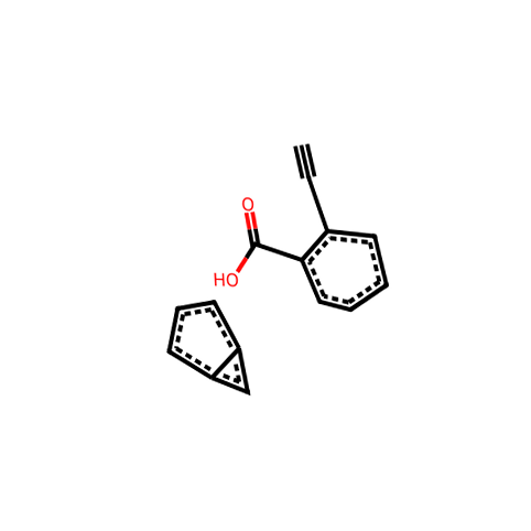 C#Cc1ccccc1C(=O)O.c1cc2cc-2c1